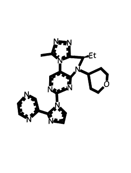 CC[C@@H]1c2nnc(C)n2-c2cnc(-n3ccnc3-c3cnccn3)nc2N1C1CCOCC1